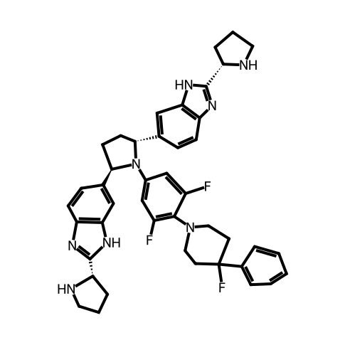 Fc1cc(N2[C@@H](c3ccc4nc([C@@H]5CCCN5)[nH]c4c3)CC[C@@H]2c2ccc3nc([C@@H]4CCCN4)[nH]c3c2)cc(F)c1N1CCC(F)(c2ccccc2)CC1